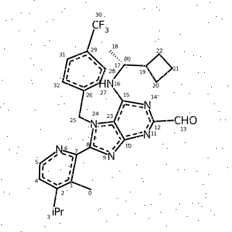 Cc1c(C(C)C)ccnc1-c1nc2nc(C=O)nc(N[C@H](C)C3CCC3)c2n1Cc1ccc(C(F)(F)F)cc1